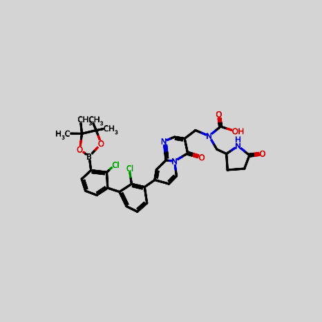 CC1(C)OB(c2cccc(-c3cccc(-c4ccn5c(=O)c(CN(CC6CCC(=O)N6)C(=O)O)cnc5c4)c3Cl)c2Cl)OC1(C)C